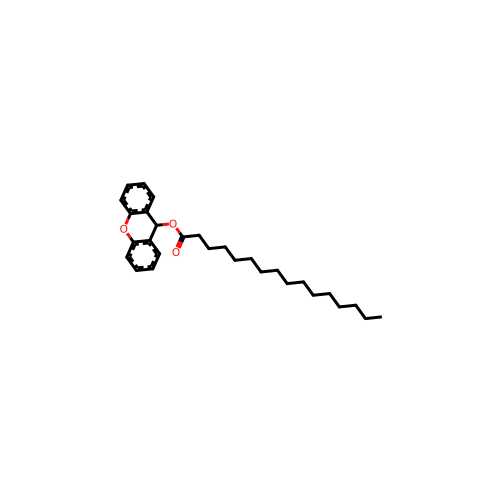 CCCCCCCCCCCCCCCC(=O)OC1c2ccccc2Oc2ccccc21